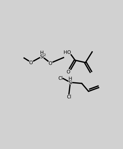 C=C(C)C(=O)O.C=CC[SiH](Cl)Cl.CO[SiH2]OC